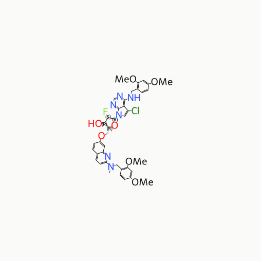 COc1ccc(CNc2ncnc3c2c(Cl)cn3[C@@H]2O[C@H](COc3ccc4ccc(N(C)Cc5ccc(OC)cc5OC)nc4c3)[C@@H](O)[C@@H]2F)c(OC)c1